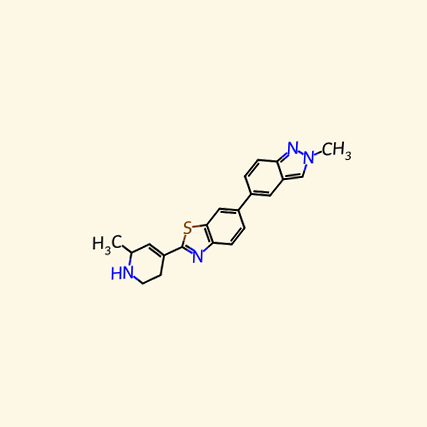 CC1C=C(c2nc3ccc(-c4ccc5nn(C)cc5c4)cc3s2)CCN1